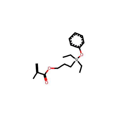 C=C(C)C(=O)OCCC[Si](CC)(CC)Oc1ccccc1